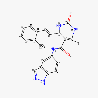 CC1=C(C(=O)Nc2ccc3[nH]ncc3c2)C(C=Cc2ccccc2[N+](=O)[O-])NC(=O)N1